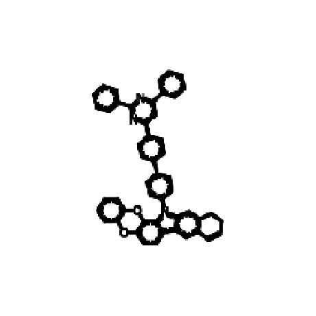 C1=Cc2cc3c4ccc5c(c4n(-c4ccc(-c6ccc(-c7cc(-c8ccccc8)nc(-c8ccccc8)n7)cc6)cc4)c3cc2CC1)Oc1ccccc1O5